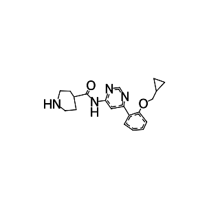 O=C(Nc1cc(-c2ccccc2OCC2CC2)ncn1)C1CCNCC1